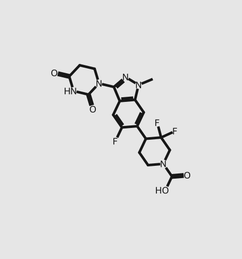 Cn1nc(N2CCC(=O)NC2=O)c2cc(F)c(C3CCN(C(=O)O)CC3(F)F)cc21